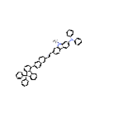 Cn1c2cc(/C=C/c3ccc4cc(-c5cccc6c5-c5ccccc5C6(c5ccccc5)c5ccccc5)ccc4c3)ccc2c2ccc(N(c3ccccc3)c3ccccc3)cc21